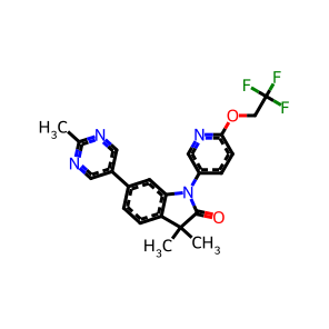 Cc1ncc(-c2ccc3c(c2)N(c2ccc(OCC(F)(F)F)nc2)C(=O)C3(C)C)cn1